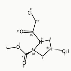 COC(=O)[C@@H]1C[C@@H](O)CN1C(=O)CCl